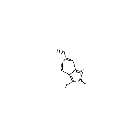 Cn1nc2cc(N)ccc2c1F